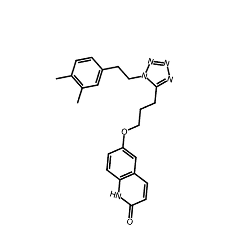 Cc1ccc(CCn2nnnc2CCCOc2ccc3[nH]c(=O)ccc3c2)cc1C